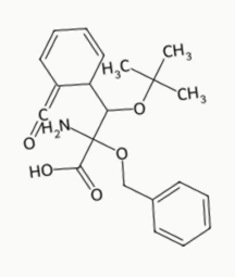 CC(C)(C)OC(C1C=CC=CC1=C=O)C(N)(OCc1ccccc1)C(=O)O